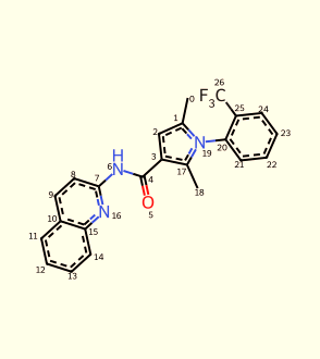 Cc1cc(C(=O)Nc2ccc3ccccc3n2)c(C)n1-c1ccccc1C(F)(F)F